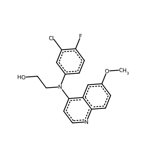 COc1ccc2nccc(N(CCO)c3ccc(F)c(Cl)c3)c2c1